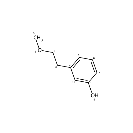 COCCc1cccc(O)c1